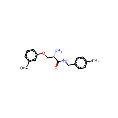 Cc1ccc(CNC(=O)[C@@H](N)COc2cccc(C=O)c2)cc1